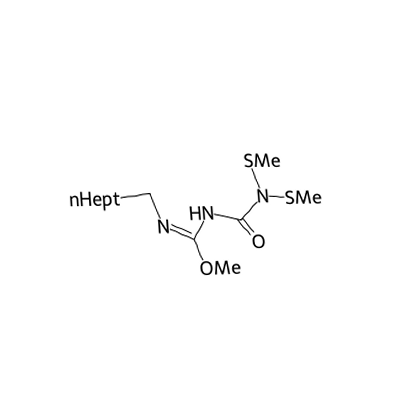 CCCCCCCCN=C(NC(=O)N(SC)SC)OC